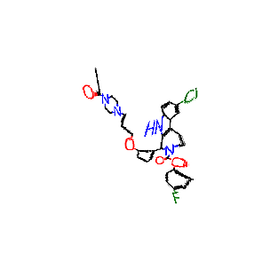 CC(=O)N1CCN(CCCOc2cccc(C3C4=C(CCN3C(=O)Oc3ccc(F)cc3)C3C=C(Cl)C=CC3N4)c2)CC1